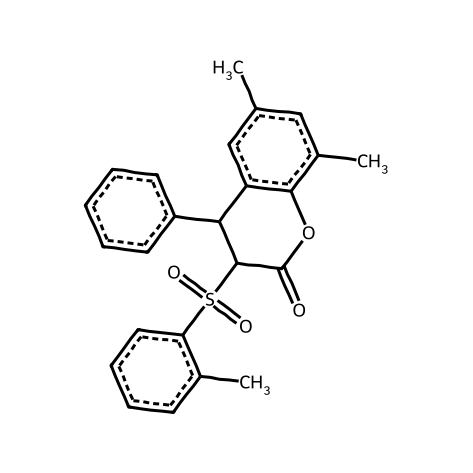 Cc1cc(C)c2c(c1)C(c1ccccc1)C(S(=O)(=O)c1ccccc1C)C(=O)O2